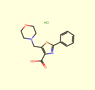 Cl.O=C(O)c1nc(-c2ccccc2)sc1CN1CCOCC1